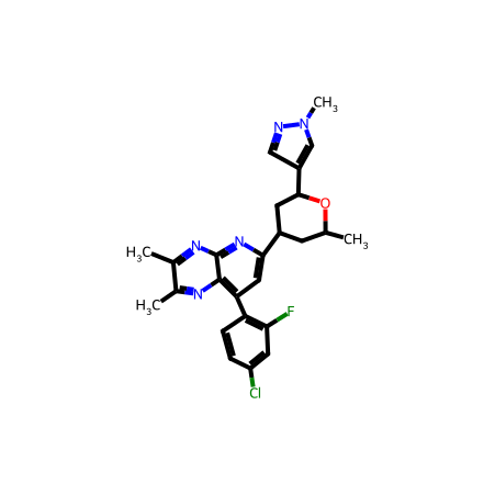 Cc1nc2nc(C3CC(C)OC(c4cnn(C)c4)C3)cc(-c3ccc(Cl)cc3F)c2nc1C